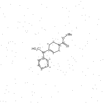 CC(C)(C)OC(=O)N1CC=C(N(C(=O)O)c2ccccc2)CC1